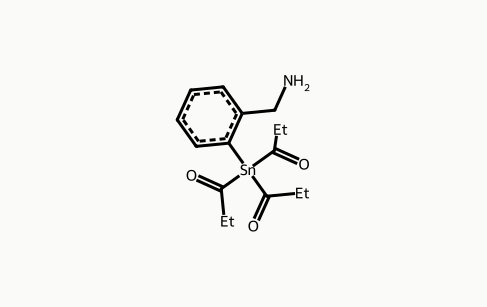 CC[C](=O)[Sn]([C](=O)CC)([C](=O)CC)[c]1ccccc1CN